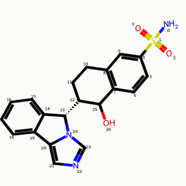 NS(=O)(=O)c1ccc2c(c1)CCC([C@H]1c3ccccc3-c3cncn31)C2O